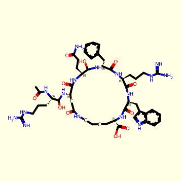 CC(=O)N[C@@H](CCCNC(=N)N)C(O)N[C@H]1CC(=O)NCCCC[C@@H](C(=O)O)NC(=O)[C@H](Cc2c[nH]c3ccccc23)NC(=O)[C@H](CCCNC(=N)N)NC(=O)[C@@H](Cc2ccccc2)NC(O)[C@H](CCC(N)=O)NC1=O